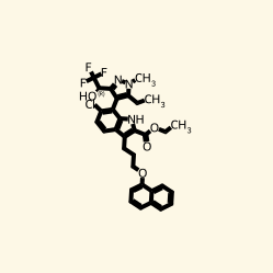 CCOC(=O)c1[nH]c2c(-c3c([C@@H](O)C(F)(F)F)nn(C)c3CC)c(Cl)ccc2c1CCCOc1cccc2ccccc12